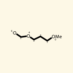 COCCCOC[O]